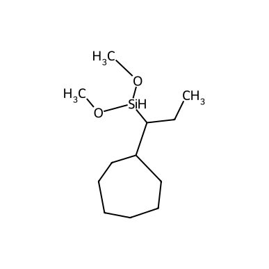 CCC(C1CCCCCC1)[SiH](OC)OC